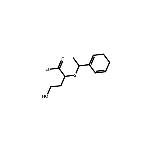 CCC(=O)C(CCO)SC(C)C1=CCCC=C1